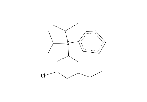 CC(C)S(c1ccccc1)(C(C)C)C(C)C.CCCCCCl